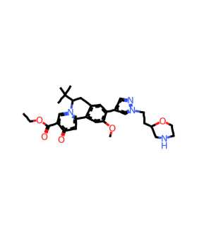 CCOC(=O)c1cn2c(cc1=O)-c1cc(OC)c(-c3cnn(CCC4CNCCO4)c3)cc1CC2C(C)(C)C